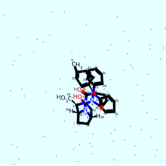 Cc1ccc([C@H]2CCCN2C(O)N2[C@H]3CC[C@@H]2[C@@H](C(=O)O)N(C(=O)N(c2ccccc2)c2ccccc2)C3)cc1